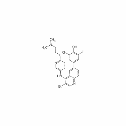 CCc1cnc2ccc(-c3cc(Cl)c(O)c(Cl)c3)cc2c1Nc1ccc(OCCN(C)C)nc1